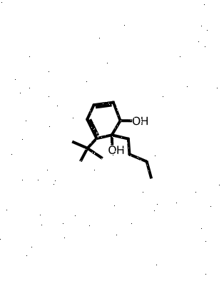 CCCCC1(O)C(C(C)(C)C)=CC=CC1O